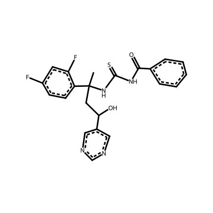 CC(CC(O)c1cncnc1)(NC(=S)NC(=O)c1ccccc1)c1ccc(F)cc1F